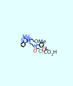 COCCc1nc2c(N)nc3ccccc3c2n1CCCN(Cc1cccc(OC(C)(C)C(=O)O)c1)C(=O)CCl